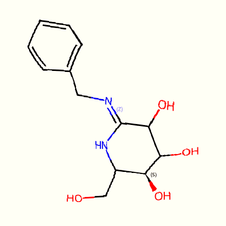 OCC1N/C(=N\Cc2ccccc2)C(O)C(O)[C@H]1O